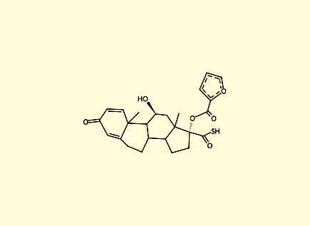 CC12C=CC(=O)C=C1CCC1C2[C@@H](O)CC2(C)C1CC[C@]2(OC(=O)c1ccco1)C(=O)S